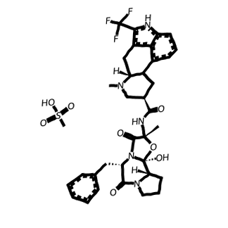 CN1C[C@H](C(=O)N[C@]2(C)O[C@@]3(O)[C@@H]4CCCN4C(=O)[C@H](Cc4ccccc4)N3C2=O)CC2c3cccc4[nH]c(C(F)(F)F)c(c34)C[C@H]21.CS(=O)(=O)O